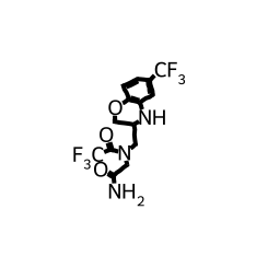 NC(=O)CN(CC1COc2ccc(C(F)(F)F)cc2N1)C(=O)C(F)(F)F